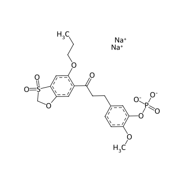 CCCOc1cc2c(cc1C(=O)CCc1ccc(OC)c(OP(=O)([O-])[O-])c1)OCS2(=O)=O.[Na+].[Na+]